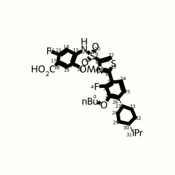 CCCCOc1c(F)c(-c2nc(S(=O)(=O)Nc3cc(F)c(C(=O)O)cc3OC)cs2)ccc1[C@H]1CC[C@@H](C(C)C)CC1